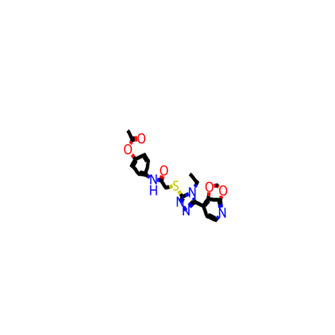 CCn1c(SCC(=O)Nc2ccc(OC(C)=O)cc2)nnc1-c1ccnc2c1OCO2